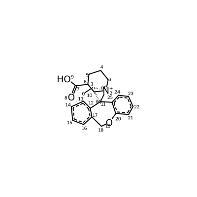 CC[N@@+]12CCCC(C(=O)O)C1[C@]21c2ccccc2COc2ccccc21